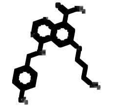 NCCCOc1cc(C(N)=O)c2ncnc(NCc3ccc(C(F)(F)F)cc3)c2c1